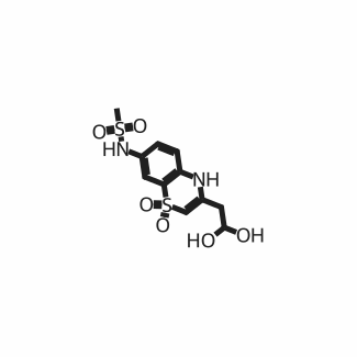 CS(=O)(=O)Nc1ccc2c(c1)S(=O)(=O)C=C(CC(O)O)N2